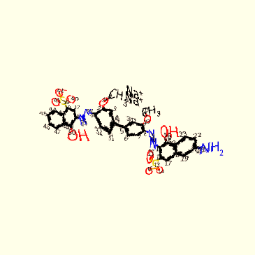 COc1cc(-c2ccc(N=Nc3c(S(=O)(=O)[O-])cc4cc(N)ccc4c3O)c(OC)c2)ccc1N=Nc1cc(S(=O)(=O)[O-])c2ccccc2c1O.[Na+].[Na+]